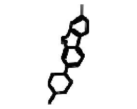 Cc1ccc2c(c1)sc1cc(C3CCC(C)CC3)ccc12